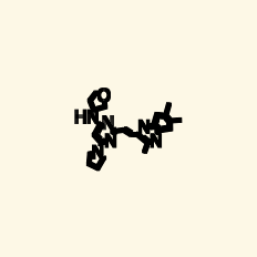 Cc1cc2nc(C)c(/C=C/c3nc(N[C@@H]4CCOC4)cc(N4CCCC4)n3)nc2cc1C